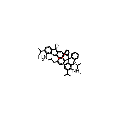 CC(C)c1ccc2c(c1N)P(C(C)C)c1ccccc1C21c2ccccc2-c2cc(CC(C)p3c4ccccc4c(=O)c4ccc(C(C)C)c(N)c43)ccc21